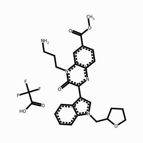 COC(=O)c1ccc2nc(-c3cn(CC4CCCO4)c4ccccc34)c(=O)n(CCCN)c2c1.O=C(O)C(F)(F)F